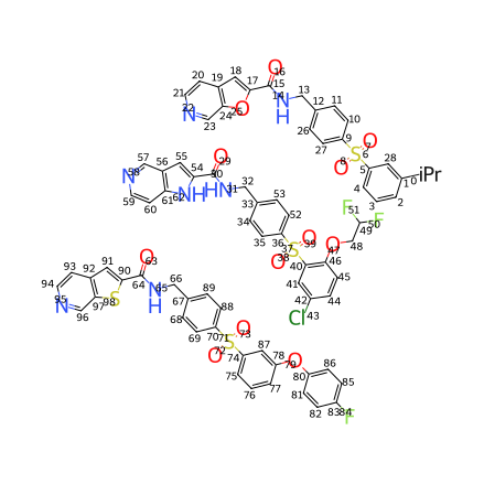 CC(C)c1cccc(S(=O)(=O)c2ccc(CNC(=O)c3cc4ccncc4o3)cc2)c1.O=C(NCc1ccc(S(=O)(=O)c2cc(Cl)ccc2OCC(F)F)cc1)c1cc2cnccc2[nH]1.O=C(NCc1ccc(S(=O)(=O)c2cccc(Oc3ccc(F)cc3)c2)cc1)c1cc2ccncc2s1